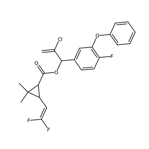 C=C(Cl)C(OC(=O)C1C(C=C(F)F)C1(C)C)c1ccc(F)c(Oc2ccccc2)c1